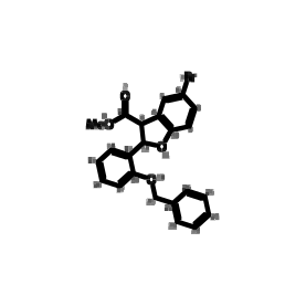 COC(=O)C1c2cc(Br)ccc2OC1c1ccccc1OCc1ccccc1